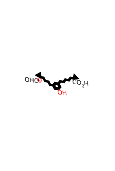 O=COC1(CCCCc2cc(O)cc(CCCCCC3(C(=O)O)CC3)c2)CC1